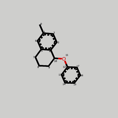 Cc1ccc2c(c1)CCCC2Oc1ccccc1